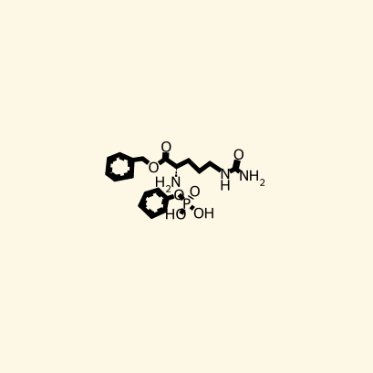 NC(=O)NCCC[C@H](N)C(=O)OCc1ccccc1.O=P(O)(O)Oc1ccccc1